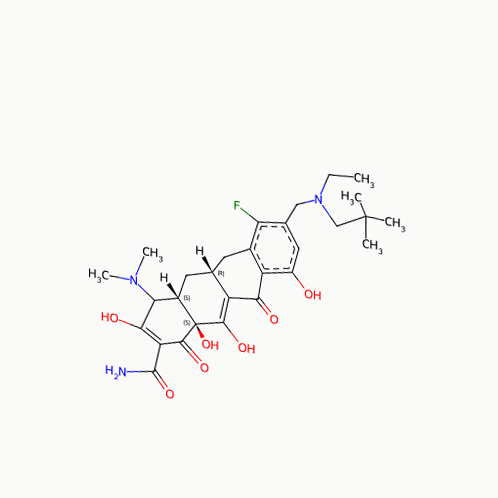 CCN(Cc1cc(O)c2c(c1F)C[C@H]1C[C@H]3C(N(C)C)C(O)=C(C(N)=O)C(=O)[C@@]3(O)C(O)=C1C2=O)CC(C)(C)C